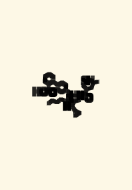 CCCCc1nc(C2CC2)c(CNC(=O)C(CS)CC(C)C)n1Cc1ccc(-c2ccccc2C(=O)O)cc1